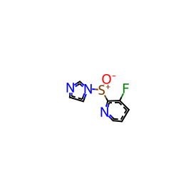 [O-][S+](c1ncccc1F)n1ccnc1